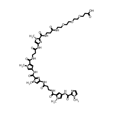 Cn1cc(NC(=O)c2nc(NC(=O)CCNC(=O)c3cc(NC(=O)c4nccn4C)cn3C)cn2C)cc1C(=O)NCCC(=O)Nc1cn(C)c(C(=O)NCCC(=O)NCCOCCOCCOCCC(=O)O)n1